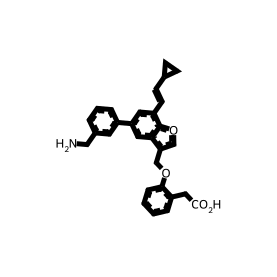 NCc1cccc(-c2cc(C=CC3CC3)c3occ(COc4ccccc4CC(=O)O)c3c2)c1